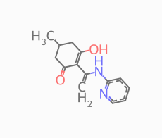 C=C(Nc1ccccn1)C1=C(O)CC(C)CC1=O